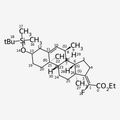 CCOC(=O)C(F)=C1CC[C@H]2[C@@H]3[C@H](C)C=C4CC(O[Si](C)(C)C(C)(C)C)CC[C@]4(C)[C@H]3CC[C@]12C